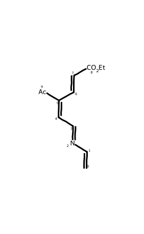 C=C/N=C/C=C(\C=C\C(=O)OCC)C(C)=O